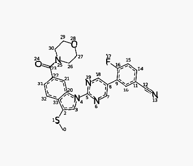 CSc1cn(-c2ncc(-c3cc(C#N)ccc3F)cn2)c2cc(C(=O)N3CCOCC3)ccc12